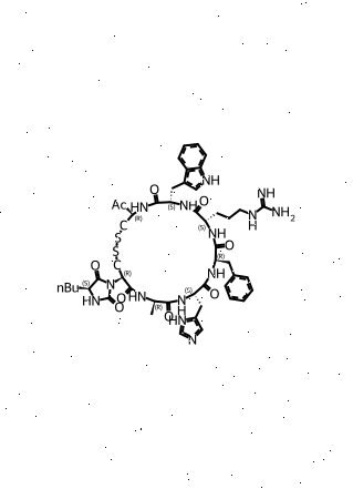 CCCC[C@@H]1NC(=O)N([C@H]2CSSC[C@@H](C(C)=O)NC(=O)[C@H](Cc3c[nH]c4ccccc34)NC(=O)[C@H](CCCNC(=N)N)NC(=O)[C@@H](Cc3ccccc3)NC(=O)[C@H](Cc3cnc[nH]3)NC(=O)[C@@H](C)NC2=O)C1=O